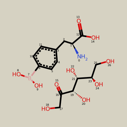 N[C@@H](Cc1ccc(B(O)O)cc1)C(=O)O.O=C(CO)[C@@H](O)[C@H](O)[C@H](O)CO